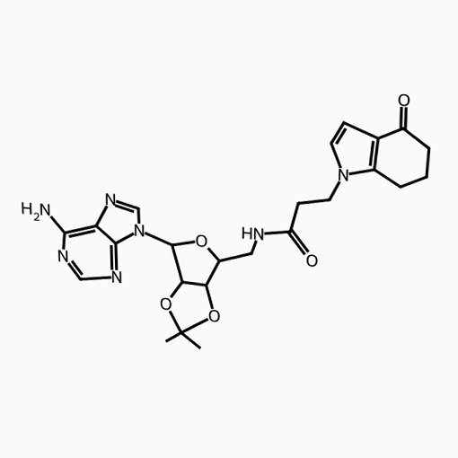 CC1(C)OC2C(CNC(=O)CCn3ccc4c3CCCC4=O)OC(n3cnc4c(N)ncnc43)C2O1